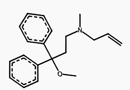 C=CCN(C)CCC(OC)(c1ccccc1)c1ccccc1